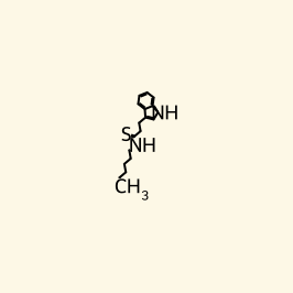 CCCCCCNC(=S)CCc1c[nH]c2ccccc12